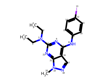 CCN(CC)c1nc(Nc2ccc(I)cc2)c2cnn(C)c2n1